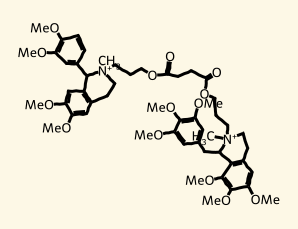 COc1ccc(C2c3cc(OC)c(OC)cc3CC[N+]2(C)CCCOC(=O)CCC(=O)OCCC[N+]2(C)CCc3cc(OC)c(OC)c(OC)c3C2Cc2cc(OC)c(OC)c(OC)c2)cc1OC